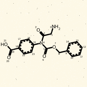 NCC(=O)N(C(=O)OCc1ccccc1)c1ccc(C(=O)O)cc1